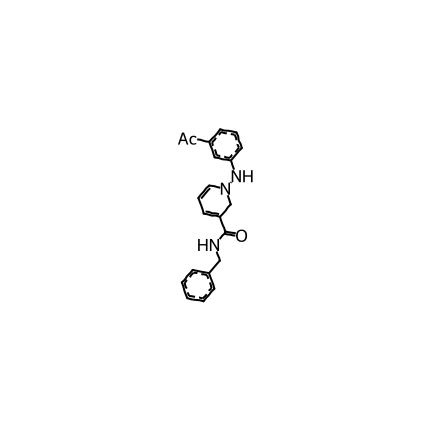 CC(=O)c1cccc(NN2C=CC=C(C(=O)NCc3ccccc3)C2)c1